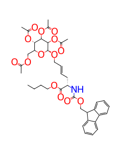 CCCCOC(=O)[C@H](CC=CCO[C@H]1OC(COC(C)=O)[C@H](OC(C)=O)C(OC(C)=O)C1OC(C)=O)NC(=O)OCC1c2ccccc2-c2ccccc21